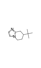 CC(C)(C)C1CCn2ccnc2C1